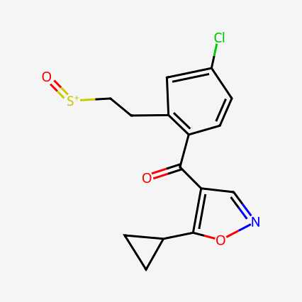 O=[S+]CCc1cc(Cl)ccc1C(=O)c1cnoc1C1CC1